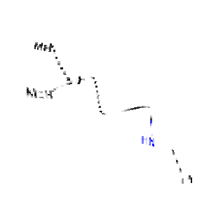 CN[SiH](CCCNCC(C)C)NC